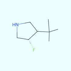 CC(C)(C)C1CNC[C@H]1F